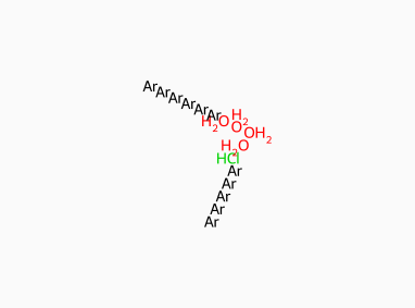 Cl.O.O.O.O.[Ar].[Ar].[Ar].[Ar].[Ar].[Ar].[Ar].[Ar].[Ar].[Ar].[Ar]